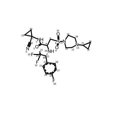 N#CC1(NC(=O)C(CS(=O)(=O)N2CCN(C3CC3)CC2)N[C@H](c2ccc(F)cc2)C(F)(F)F)CC1